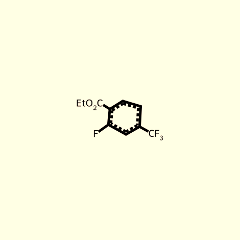 CCOC(=O)c1ccc(C(F)(F)F)cc1F